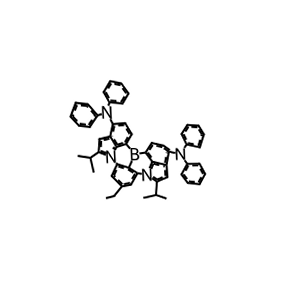 CCc1cc2c3c(c1)-n1c(C(C)C)cc4c(N(c5ccccc5)c5ccccc5)ccc(c41)B3c1ccc(N(c3ccccc3)c3ccccc3)c3cc(C(C)C)n-2c13